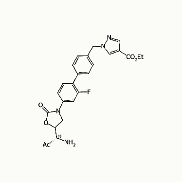 CCOC(=O)c1cnn(Cc2ccc(-c3ccc(N4CC([C@H](N)C(C)=O)OC4=O)cc3F)cc2)c1